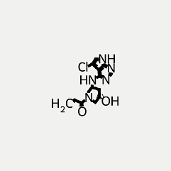 C=CC(=O)N1CC(Nc2ncnc3[nH]cc(Cl)c23)C[C@H](O)C1